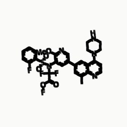 COc1ncc(-c2cc(C)c3nccc(N4CCNCC4)c3c2)cc1N(C(F)(F)C(=O)OF)S(=O)(=O)c1ccccc1F